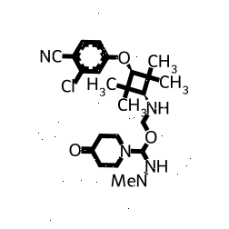 CNNC(OCN[C@H]1C(C)(C)[C@H](Oc2ccc(C#N)c(Cl)c2)C1(C)C)N1CCC(=O)CC1